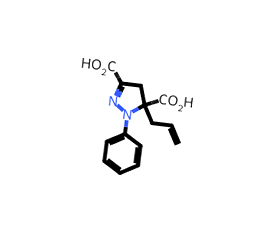 C=CCC1(C(=O)O)CC(C(=O)O)=NN1c1ccccc1